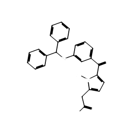 Cn1c(CC(=O)O)ccc1C(=O)c1cccc(NC(c2ccccc2)c2ccccc2)c1